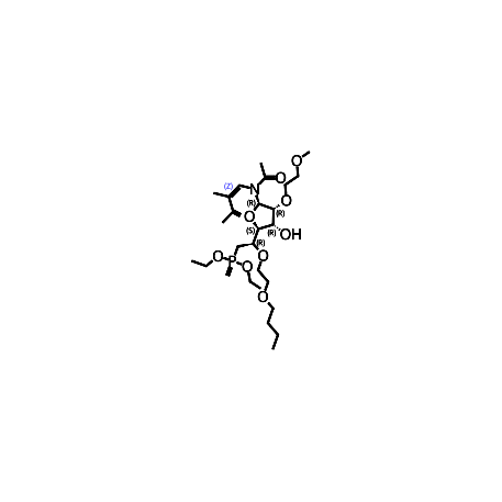 C=C(C)/C(C)=C\N(C(C)=O)[C@@H]1O[C@H]([C@H](CP(=C)(OCC)OCC)OCCOCCCC)[C@@H](O)[C@H]1OCCOC